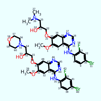 COc1cc2c(Nc3ccc(Br)cc3F)ncnc2cc1OCC(O)CN(C)C.COc1cc2c(Nc3ccc(Br)cc3F)ncnc2cc1OCC(O)CN1CCOCC1